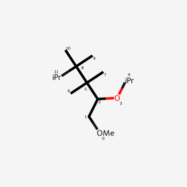 COCC(OC(C)C)C(C)(C)C(C)(C)C(C)C